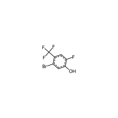 Oc1cc(Br)c(C(F)(F)F)cc1F